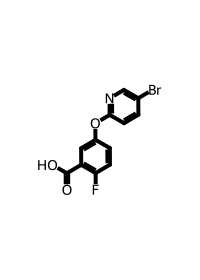 O=C(O)c1cc(Oc2ccc(Br)cn2)ccc1F